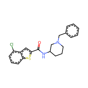 O=C(NC1CCCN(Cc2ccccc2)C1)c1cc2c(Cl)cccc2s1